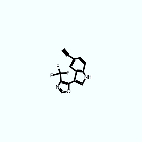 C#Cc1ccc2[nH]cc(-c3ocnc3C(F)(F)F)c2c1